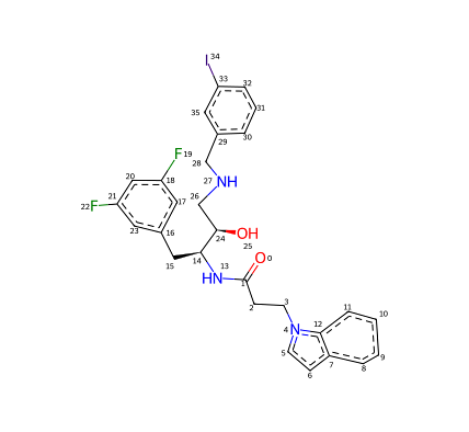 O=C(CCn1ccc2ccccc21)N[C@@H](Cc1cc(F)cc(F)c1)[C@H](O)CNCc1cccc(I)c1